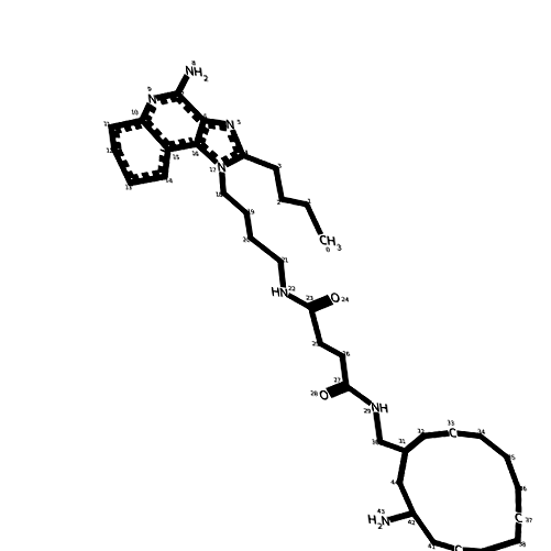 CCCCc1nc2c(N)nc3ccccc3c2n1CCCCNC(=O)CCC(=O)NCC1CCCCCCCCCCC(N)C1